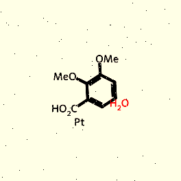 COc1cccc(C(=O)O)c1OC.O.[Pt]